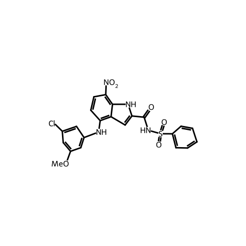 COc1cc(Cl)cc(Nc2ccc([N+](=O)[O-])c3[nH]c(C(=O)NS(=O)(=O)c4ccccc4)cc23)c1